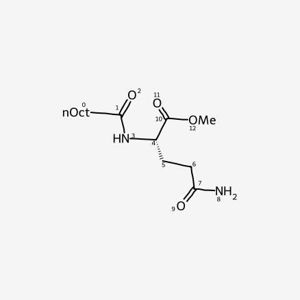 CCCCCCCCC(=O)N[C@@H](CCC(N)=O)C(=O)OC